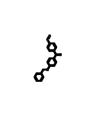 O=Nc1ccc(C(=O)c2ccc(OCc3ccccc3)cc2)cc1